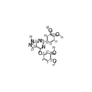 COc1ccc(Oc2nc(-c3ccc(OC)c(OC)c3)nc3c2cnn3C)cc1OC